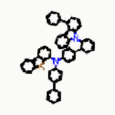 c1ccc(-c2ccc(N(c3ccc(-c4ccccc4-n4c5ccccc5c5c(-c6ccccc6)cccc54)cc3)c3cccc4c3sc3ccccc34)cc2)cc1